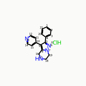 Cl.c1ccc(-c2nn3c(c2-c2ccncc2)CNCC3)cc1